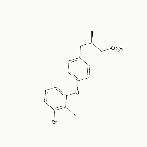 Cc1c(Br)cccc1Oc1ccc(C[C@@H](C)CC(=O)O)cc1